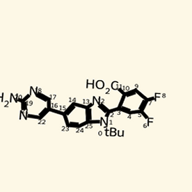 CC(C)(C)n1c(-c2cc(F)c(F)cc2C(=O)O)nc2cc(-c3cnc(N)nc3)ccc21